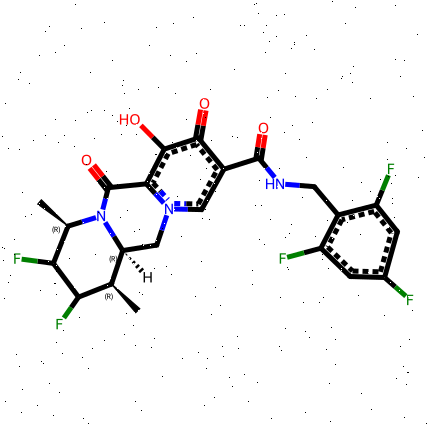 C[C@@H]1C(F)C(F)[C@H](C)[C@@H]2Cn3cc(C(=O)NCc4c(F)cc(F)cc4F)c(=O)c(O)c3C(=O)N12